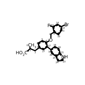 CC(Cc1ccc(OCc2ccc(Br)cc2F)c(-c2ccc3[nH]ccc3c2)c1)C(=O)O